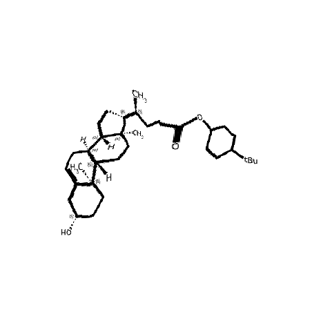 C[C@@H](CCC(=O)OC1CCC(C(C)(C)C)CC1)[C@H]1CC[C@H]2[C@@H]3CC=C4C[C@@H](O)CC[C@]4(C)[C@H]3CC[C@]12C